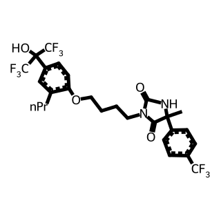 CCCc1cc(C(O)(C(F)(F)F)C(F)(F)F)ccc1OCCCCN1C(=O)NC(C)(c2ccc(C(F)(F)F)cc2)C1=O